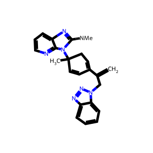 C=C(Cn1nnc2ccccc21)C1=CCC(C)(n2c(NC)nc3cccnc32)C=C1